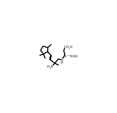 CC1CCC(C)(C)C1C=CC(C)(N)CN[C@@H](C=O)CC(=O)O